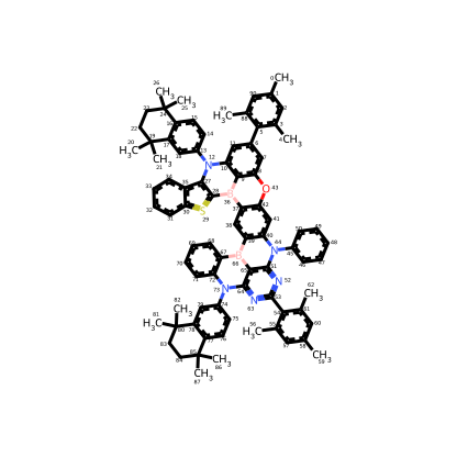 Cc1cc(C)c(-c2cc3c4c(c2)N(c2ccc5c(c2)C(C)(C)CCC5(C)C)c2c(sc5ccccc25)B4c2cc4c(cc2O3)N(c2ccccc2)c2nc(-c3c(C)cc(C)cc3C)nc3c2B4c2ccccc2N3c2ccc3c(c2)C(C)(C)CCC3(C)C)c(C)c1